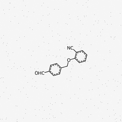 N#Cc1ccccc1OCc1ccc(C=O)cc1